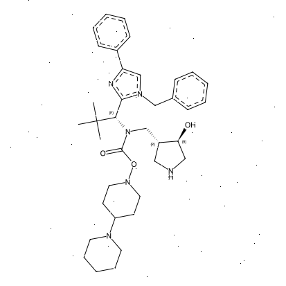 CC(C)(C)[C@H](c1nc(-c2ccccc2)cn1Cc1ccccc1)N(C[C@H]1CNC[C@@H]1O)C(=O)ON1CCC(N2CCCCC2)CC1